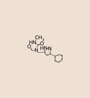 CNC(=O)N(C=O)Cc1cc(-c2ccccc2)n[nH]1